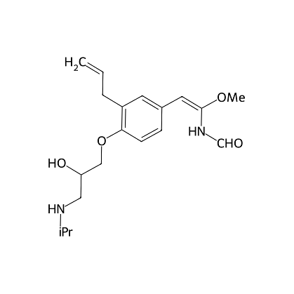 C=CCc1cc(C=C(NC=O)OC)ccc1OCC(O)CNC(C)C